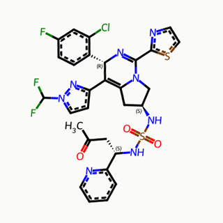 CC(=O)C[C@H](NS(=O)(=O)N[C@H]1CC2=C(c3ccn(C(F)F)n3)[C@H](c3ccc(F)cc3Cl)N=C(c3nccs3)N2C1)c1ccccn1